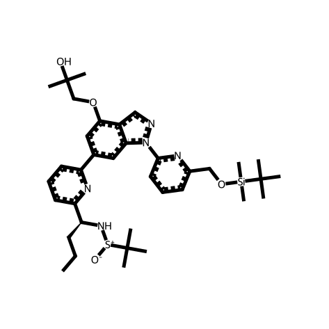 CCC[C@H](N[S+]([O-])C(C)(C)C)c1cccc(-c2cc(OCC(C)(C)O)c3cnn(-c4cccc(CO[Si](C)(C)C(C)(C)C)n4)c3c2)n1